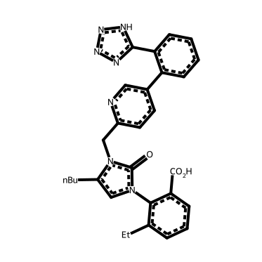 CCCCc1cn(-c2c(CC)cccc2C(=O)O)c(=O)n1Cc1ccc(-c2ccccc2-c2nnn[nH]2)cn1